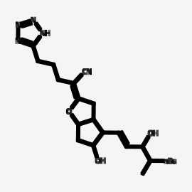 CCCCC(C)C(O)/C=C/C1C(O)CC2O/C(=C(/C#N)CCCc3nnn[nH]3)CC21